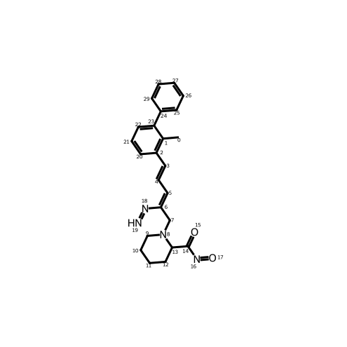 Cc1c(/C=C/C=C(/CN2CCCCC2C(=O)N=O)N=N)cccc1-c1ccccc1